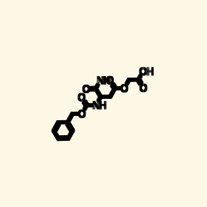 NC(=O)C(CC(=O)OCC(=O)O)NC(=O)OCc1ccccc1